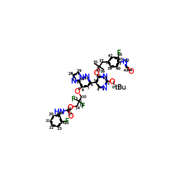 CC(C)(C)Oc1ncc(-c2cc(OCC(F)(F)COC(=O)Nc3ccccc3F)c3nccn3n2)c(OC(C)(C)Cc2ccc(N=C=O)c(F)c2)n1